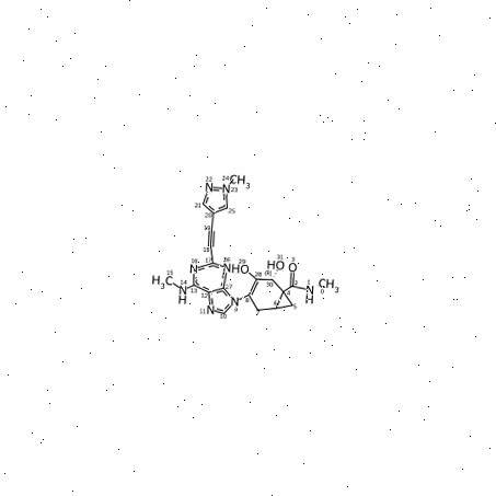 CNC(=O)C12CC1CC(n1cnc3c(NC)nc(C#Cc4cnn(C)c4)nc31)=C(O)[C@@H]2O